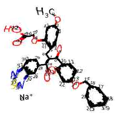 COc1ccc(CC(C(=O)c2ccc(OCc3ccccc3)cc2)=C(C(=O)[O-])c2ccc3nsnc3c2)c(OCC(=O)O)c1.[Na+]